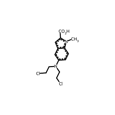 Cn1c(C(=O)O)cc2cc(N(CCCl)CCCl)ccc21